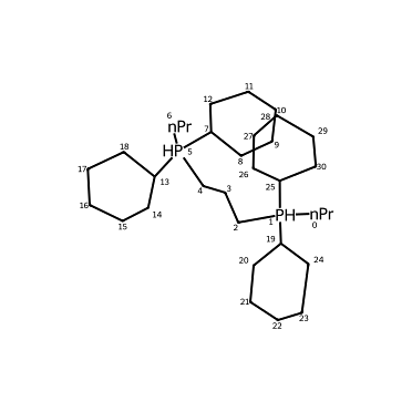 CCC[PH](CCC[PH](CCC)(C1CCCCC1)C1CCCCC1)(C1CCCCC1)C1CCCCC1